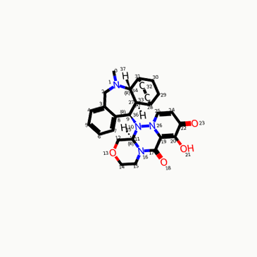 CN1Cc2ccccc2[C@H](N2[C@@H]3COCCN3C(=O)c3c(O)c(=O)ccn32)[C@@H]2C3CCC(CC3)[C@H]21